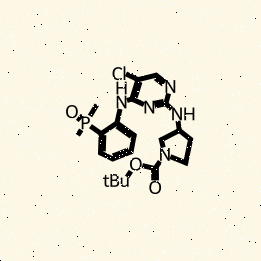 CC(C)(C)OC(=O)N1CCC(Nc2ncc(Cl)c(Nc3ccccc3P(C)(C)=O)n2)C1